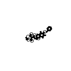 Cc1c(C)c2c(c(C)c1OCc1ccccc1)CCC(C)(CC(O)=C1C(=O)OC(C)(C)OC1=O)O2